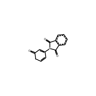 O=C1C=C(N2C(=O)c3ccccc3C2=O)C=CC1